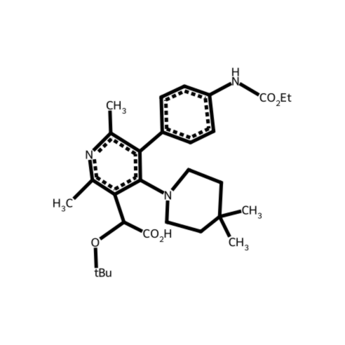 CCOC(=O)Nc1ccc(-c2c(C)nc(C)c(C(OC(C)(C)C)C(=O)O)c2N2CCC(C)(C)CC2)cc1